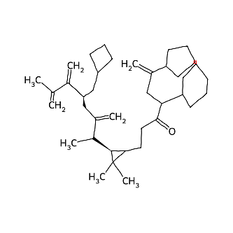 C=C(C)C(=C)[C@H](CC(=C)C(C)[C@H]1C(CCC(=O)C(CC(=C)C2CCCC2)C2CCCCC2)C1(C)C)CC1CCC1